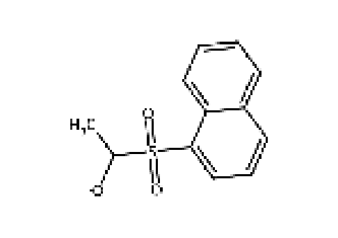 CC([O])S(=O)(=O)c1cccc2ccccc12